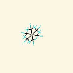 F[C](F)(F)[W]([C](F)(F)F)([C](F)(F)F)([C](F)(F)F)([C](F)(F)F)[C](F)(F)F